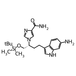 CC(C)(C)[Si](C)(C)OC[C@@H](CCc1c[nH]c2cc(N)ccc12)n1cnc(C(N)=O)c1